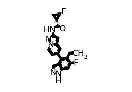 C=Cc1c(F)cc2[nH]ncc2c1-c1ccn2nc(NC(=O)[C@@H]3C[C@@H]3F)cc2c1